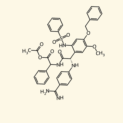 COc1cc([C@H](Nc2ccc(C(=N)N)cc2)C(=O)NC(C(=O)OC(C)=O)c2ccccc2)c(NS(=O)(=O)c2ccccc2)cc1OCc1ccccc1